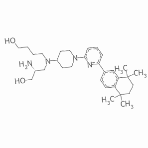 CC1(C)CCC(C)(C)c2cc(-c3cccc(N4CCC(N(CCCCO)C[C@@H](N)CO)CC4)n3)ccc21